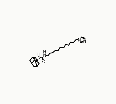 O=C(NCCCCCCCCCCCCn1ccnc1)NC12CC3CC(CC(C3)C1)C2